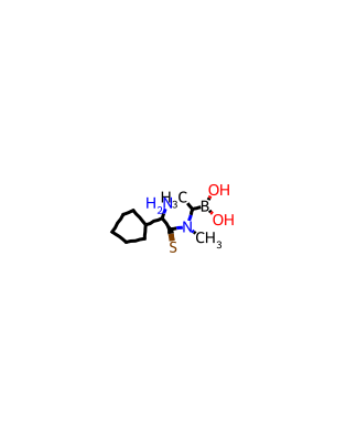 CC(B(O)O)N(C)C(=S)C(N)C1CCCCC1